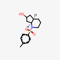 Cc1ccc(S(=O)(=O)N2CCC[C@@H]3CC(O)C[C@@H]32)cc1